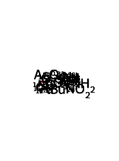 CC(=O)OC1C(CO[Si](c2ccccc2)(c2ccccc2)C(C)(C)C)OC(n2cc([N+](=O)[O-])c3c(N)ncnc32)C1(C)O